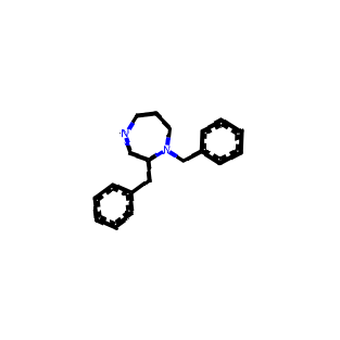 c1ccc(CC2C[N]CCCN2Cc2ccccc2)cc1